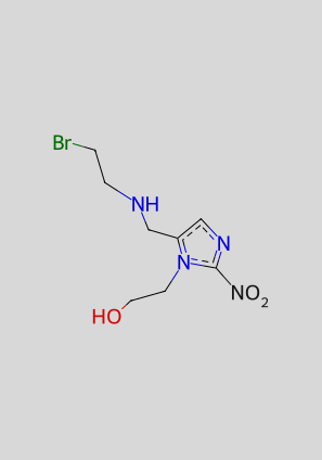 O=[N+]([O-])c1ncc(CNCCBr)n1CCO